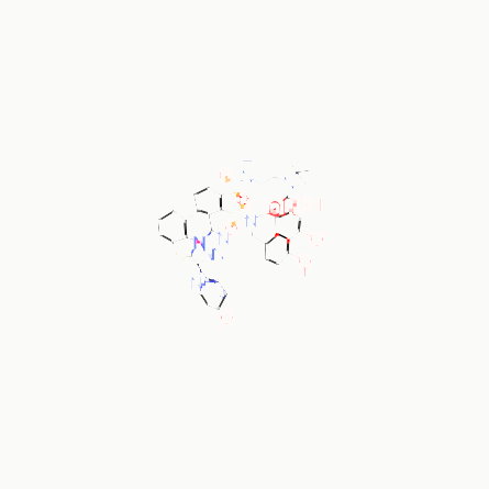 COc1ccc(CN(Cc2ccc(OC)cc2)S(=O)(=O)c2c(S(=O)(=O)N[C@@H](CO)CN(C(=O)O)C(C)(C)C)ccc(-c3cccc4sc(CN)nc34)c2-c2nnn(Cc3ccc(OC)cc3)n2)cc1